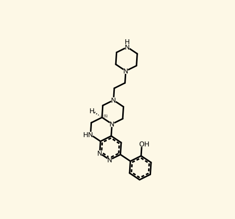 Oc1ccccc1-c1cc2c(nn1)NC[C@H]1CN(CCN3CCNCC3)CCN21